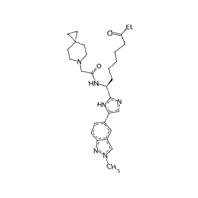 CCC(=O)CCCCC[C@H](NC(=O)CN1CCC2(CC1)CC2)c1ncc(-c2ccc3nn(C)cc3c2)[nH]1